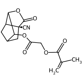 C=C(C)C(=O)OCC(=O)OC1C2CC3C1OC(=O)[C@]3(C#N)C2